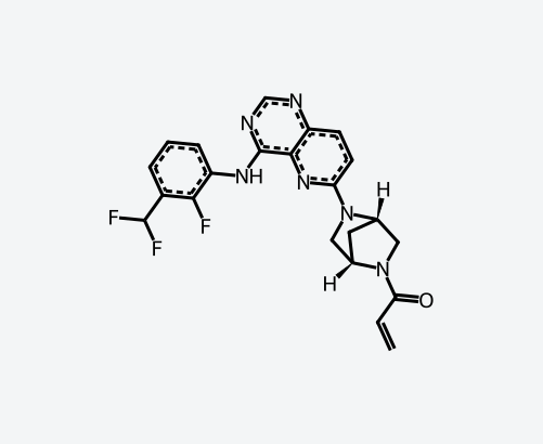 C=CC(=O)N1C[C@@H]2C[C@H]1CN2c1ccc2ncnc(Nc3cccc(C(F)F)c3F)c2n1